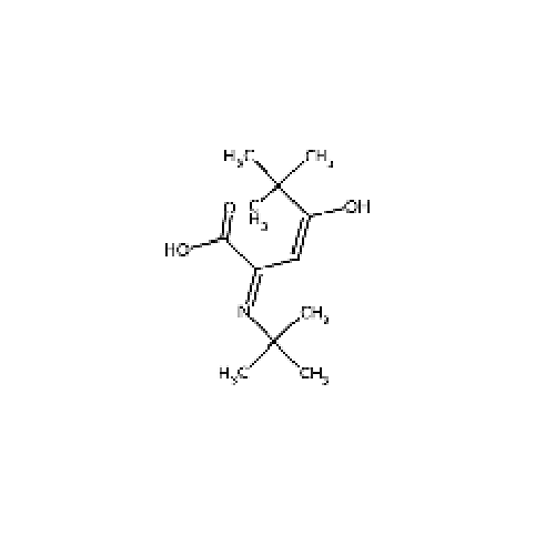 CC(C)(C)/N=C(\C=C(\O)C(C)(C)C)C(=O)O